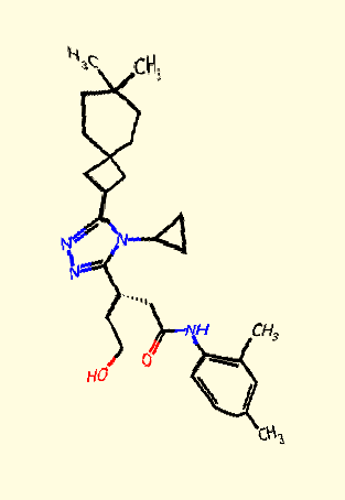 Cc1ccc(NC(=O)C[C@H](CCO)c2nnc(C3CC4(CCC(C)(C)CC4)C3)n2C2CC2)c(C)c1